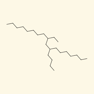 CCCCCCCCC(CC)CC(CCCC)CCCCCCC